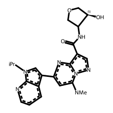 CNc1cc(-c2cn(C(C)C)c3ncccc23)nc2c(C(=O)NC3COC[C@H]3O)cnn12